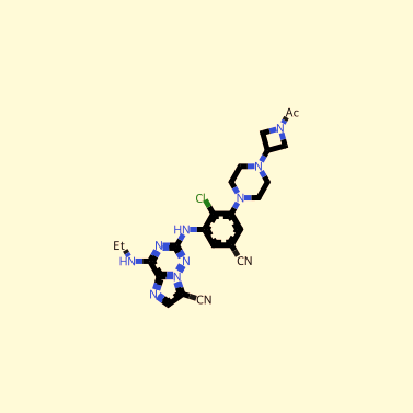 CCNc1nc(Nc2cc(C#N)cc(N3CCN(C4CN(C(C)=O)C4)CC3)c2Cl)nn2c(C#N)cnc12